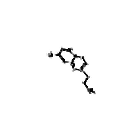 Bc1cnc2ccc(CCN)cc2c1